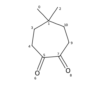 CC1(C)CCC(=O)C(=O)CC1